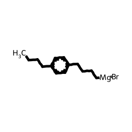 CCCCc1ccc(CCC[CH2][Mg][Br])cc1